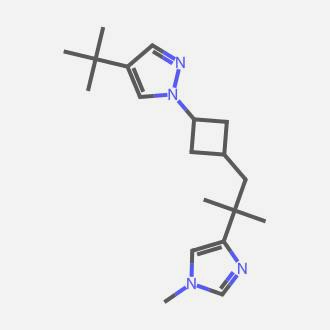 Cn1cnc(C(C)(C)CC2CC(n3cc(C(C)(C)C)cn3)C2)c1